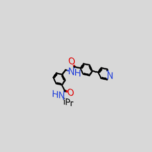 CC(C)NC(=O)c1cccc(CNC(=O)c2ccc(-c3ccncc3)cc2)c1